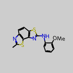 COc1ccccc1Nc1nc2c(ccc3nc(C)sc32)s1